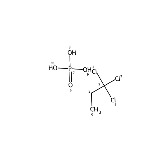 CCC(Cl)(Cl)Cl.O=P(O)(O)O